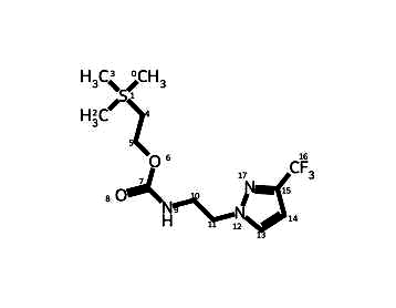 CS(C)(C)CCOC(=O)NCCn1ccc(C(F)(F)F)n1